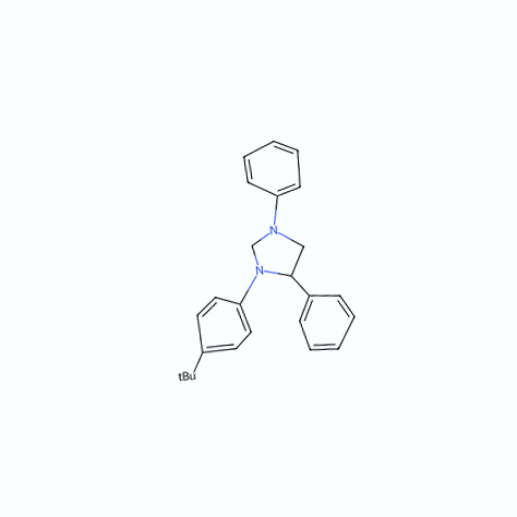 CC(C)(C)c1ccc(N2CN(c3ccccc3)CC2c2ccccc2)cc1